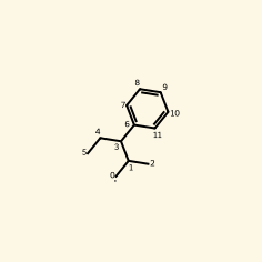 [CH2]C(C)C(CC)c1ccccc1